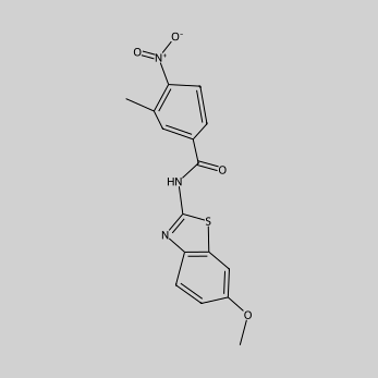 COc1ccc2nc(NC(=O)c3ccc([N+](=O)[O-])c(C)c3)sc2c1